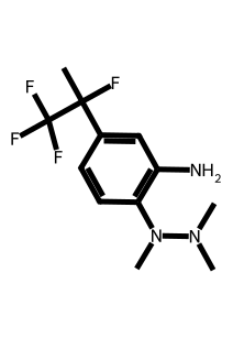 CN(C)N(C)c1ccc(C(C)(F)C(F)(F)F)cc1N